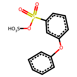 O=S(=O)(O)OS(=O)(=O)c1cccc(Oc2ccccc2)c1